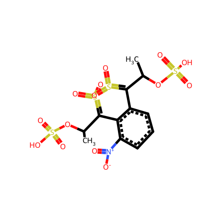 CC(OS(=O)(=O)O)C(c1cccc([N+](=O)[O-])c1C(C(C)OS(=O)(=O)O)=S(=O)=O)=S(=O)=O